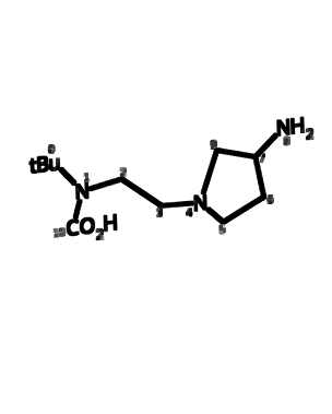 CC(C)(C)N(CCN1CCC(N)C1)C(=O)O